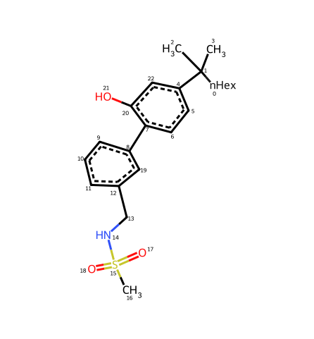 CCCCCCC(C)(C)c1ccc(-c2cccc(CNS(C)(=O)=O)c2)c(O)c1